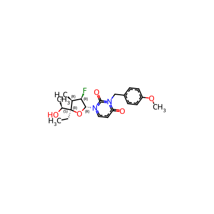 CC[C@@]1([C@H](C)O)O[C@@H](n2ccc(=O)n(Cc3ccc(OC)cc3)c2=O)[C@H](F)[C@@H]1C